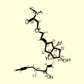 CC#CC[C@@H](C)[C@H](O)C=C[C@@H]1[C@H]2CC(=CCOCC(=O)N(C)C)C[C@H]2C[C@H]1O